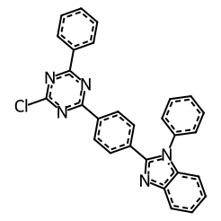 Clc1nc(-c2ccccc2)nc(-c2ccc(-c3nc4ccccc4n3-c3ccccc3)cc2)n1